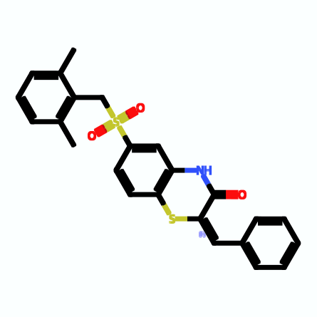 Cc1cccc(C)c1CS(=O)(=O)c1ccc2c(c1)NC(=O)/C(=C\c1ccccc1)S2